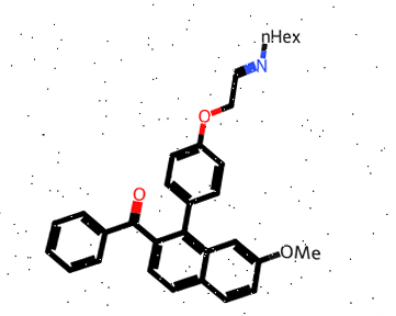 CCCCCCN=CCOc1ccc(-c2c(C(=O)c3ccccc3)ccc3ccc(OC)cc23)cc1